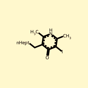 CCCCCCCCc1c(C)[nH]c(C)c(I)c1=O